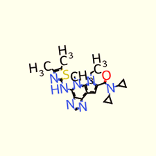 CCn1c(C(=O)N(C2CC2)C2CC2)cc2c3ncnc-3c(Nc3nc(C)c(C)s3)n(C)c21